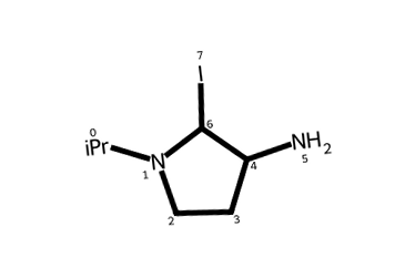 CC(C)N1CCC(N)C1I